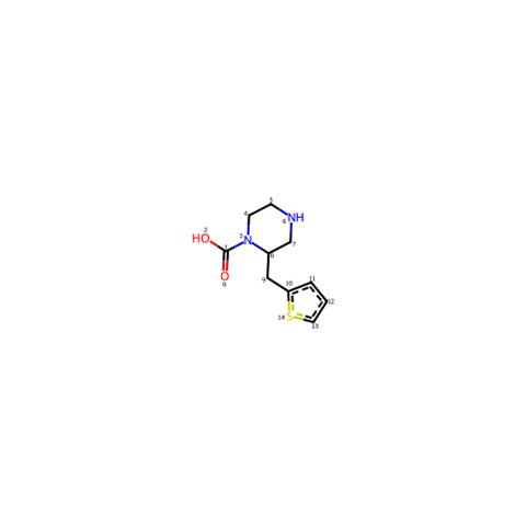 O=C(O)N1CCNCC1Cc1cccs1